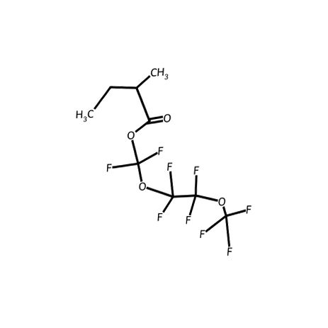 CCC(C)C(=O)OC(F)(F)OC(F)(F)C(F)(F)OC(F)(F)F